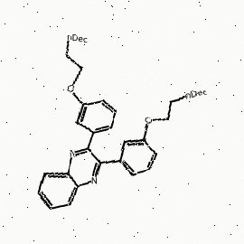 CCCCCCCCCCCCOc1cccc(-c2nc3ccccc3nc2-c2cccc(OCCCCCCCCCCCC)c2)c1